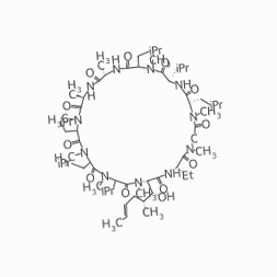 C/C=C/C[C@@H](C)[C@@H](O)[C@H]1C(=O)N[C@@H](CC)C(=O)N(C)CC(=O)N(C)[C@@H](CC(C)C)C(=O)N[C@@H](C(C)C)C(=O)N(C)C(CC(C)C)C(=O)N[C@@H](C)C(=O)N[C@H](C)C(=O)N(C)C(CC(C)C)C(=O)N(C)C(CC(C)C)C(=O)N(C)C(C(C)C)C(=O)N1C